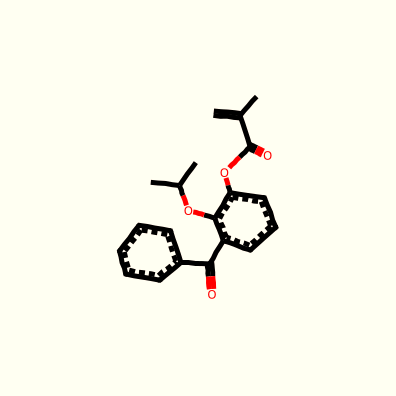 C=C(C)C(=O)Oc1cccc(C(=O)c2ccccc2)c1OC(C)C